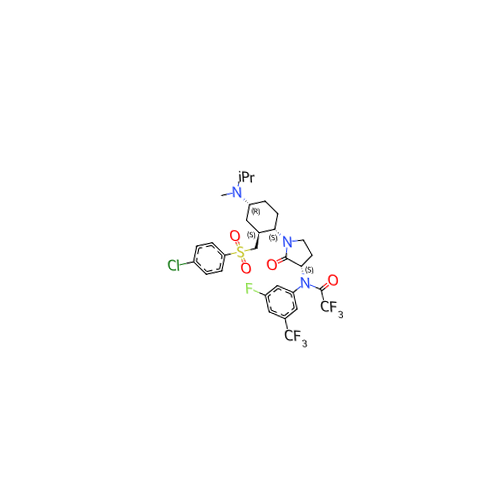 CC(C)N(C)[C@@H]1CC[C@H](N2CC[C@H](N(C(=O)C(F)(F)F)c3cc(F)cc(C(F)(F)F)c3)C2=O)[C@@H](CS(=O)(=O)c2ccc(Cl)cc2)C1